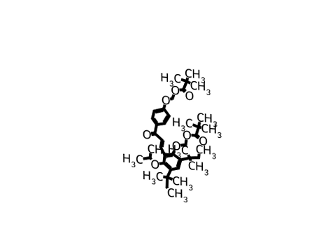 CCC(C)(C)c1cc(C(C)(C)CC)c(OC(C)C)c(C=CC(=O)c2ccc(OCOC(=O)C(C)(C)C)cc2)c1OCOC(=O)C(C)(C)C